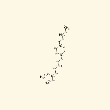 CCNCCN1CCN(CCNCCN(CC)CC)CC1